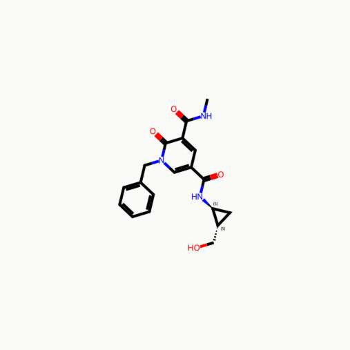 CNC(=O)c1cc(C(=O)N[C@H]2C[C@@H]2CO)cn(Cc2ccccc2)c1=O